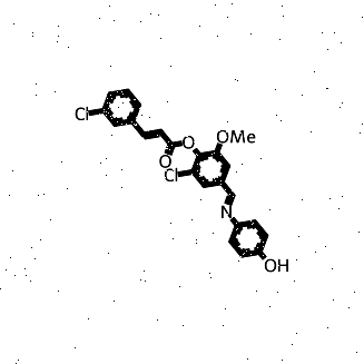 COc1cc(/C=N/c2ccc(O)cc2)cc(Cl)c1OC(=O)/C=C/c1cccc(Cl)c1